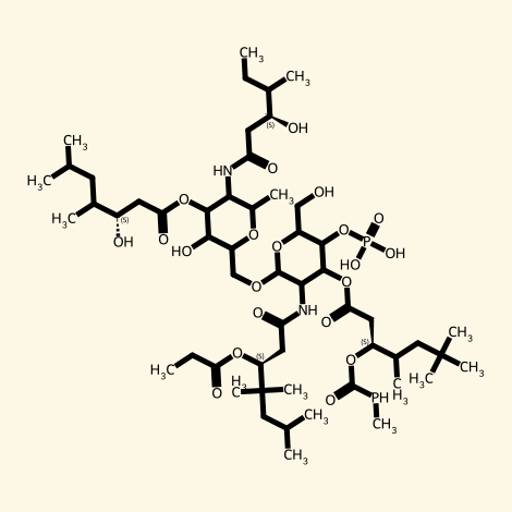 CCC(=O)O[C@@H](CC(=O)NC1C(OCC2OC(C)C(NC(=O)C[C@H](O)C(C)CC)C(OC(=O)C[C@H](O)C(C)CC(C)C)C2O)OC(CO)C(OP(=O)(O)O)C1OC(=O)C[C@H](OC(=O)PC)C(C)CC(C)(C)C)C(C)(C)CC(C)C